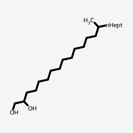 CCCCCCCC(C)CCCCCCCCCCCCC(O)CO